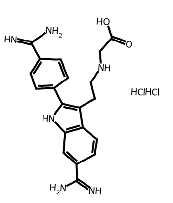 Cl.Cl.N=C(N)c1ccc(-c2[nH]c3cc(C(=N)N)ccc3c2CCNCC(=O)O)cc1